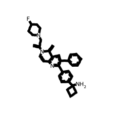 C=C(CN1CCC(F)CC1)N1C=Cc2nc(-c3ccc(C4(N)CCC4)cc3)c(-c3ccccc3)cc2C1=C